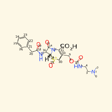 CN(C)CCNC(=O)OCC1=C(C(=O)O)N2C(=O)C(NC(=O)Cc3ccccc3)[C@H]2[S+]([O-])C1